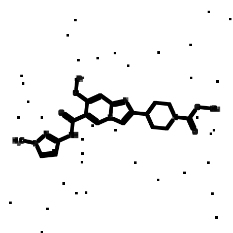 CC(C)Oc1cc2nc(C3CCN(C(=O)OC(C)(C)C)CC3)cn2cc1C(=O)Nc1ccn(C)n1